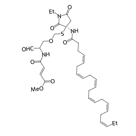 CC/C=C\C/C=C\C/C=C\C/C=C\C/C=C\C/C=C\CCC(=O)N[C@@]1(SCOCC(C=O)NC(=O)/C=C/C(=O)OC)CC(=O)N(CC)C1=O